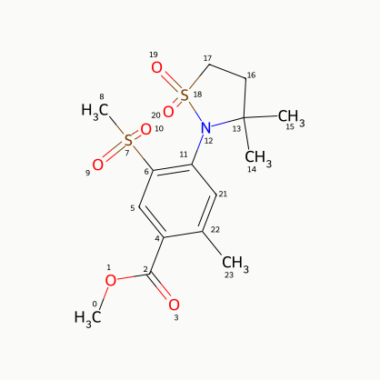 COC(=O)c1cc(S(C)(=O)=O)c(N2C(C)(C)CCS2(=O)=O)cc1C